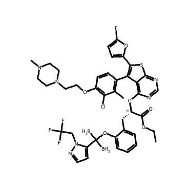 BC(B)(Oc1ccccc1C[C@H](Oc1ncnc2sc(-c3ccc(F)o3)c(-c3ccc(OCCN4CCN(C)CC4)c(Cl)c3C)c12)C(=O)OCC)c1ccnn1CC(F)(F)F